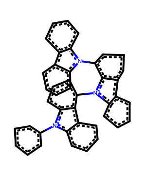 c1ccc(-n2c3ccccc3c3c(-n4c5ccccc5c5cccc(-n6c7ccccc7c7ccccc76)c54)cccc32)cc1